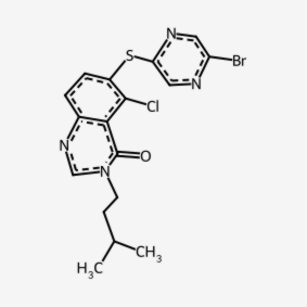 CC(C)CCn1cnc2ccc(Sc3cnc(Br)cn3)c(Cl)c2c1=O